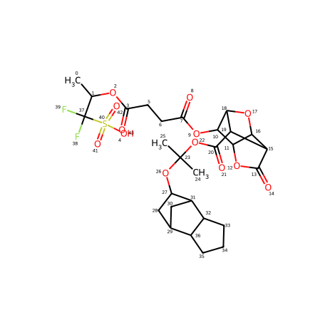 CC(OC(=O)CCC(=O)OC1C2OC(=O)C3C2OC1C3C(=O)OC(C)(C)OC1CC2CC1C1CCCC21)C(F)(F)S(=O)(=O)O